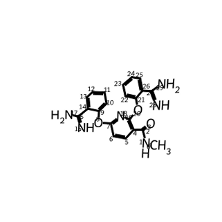 CNC(=O)c1ccc(Oc2ccccc2C(=N)N)nc1Oc1ccccc1C(=N)N